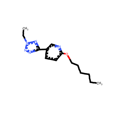 CCCCCCOc1ccc(-c2nnn(CC)n2)cn1